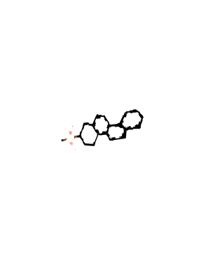 CS(=O)(=O)C1CCc2c(ccc3c2ccc2ccccc23)C1